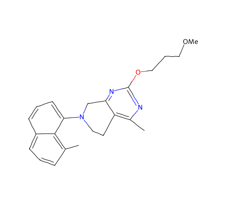 COCCCOc1nc(C)c2c(n1)CN(c1cccc3cccc(C)c13)CC2